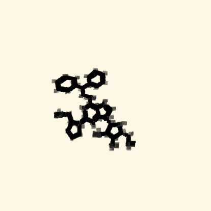 OCC1CCCN1c1nc(NCC(c2ccccc2)c2ccccc2)c2ncn([C@@H]3O[C@H](CO)[C@@H](O)[C@H]3O)c2n1